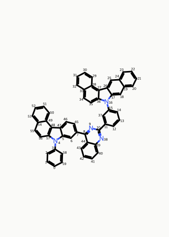 c1ccc(-n2c3cc(-c4nc(-c5cccc(-n6c7cc8ccccc8cc7c7c8ccccc8ccc76)c5)nc5ccccc45)ccc3c3c4ccccc4ccc32)cc1